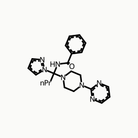 [CH2]CCC(NC(=O)c1ccccc1)(N1CCN(c2ncccn2)CC1)n1cccn1